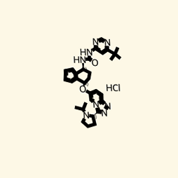 CC(C)N1CCC[C@H]1c1nnc2ccc(O[C@@H]3CC[C@H](NC(=O)Nc4cc(C(C)(C)C)ncn4)c4ccccc43)cn12.Cl